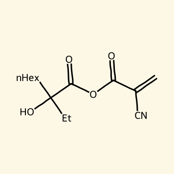 C=C(C#N)C(=O)OC(=O)C(O)(CC)CCCCCC